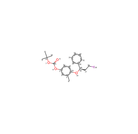 Cc1cc(OC(=O)OC(C)(C)C)ccc1O[C@H](CCI)c1ccccc1